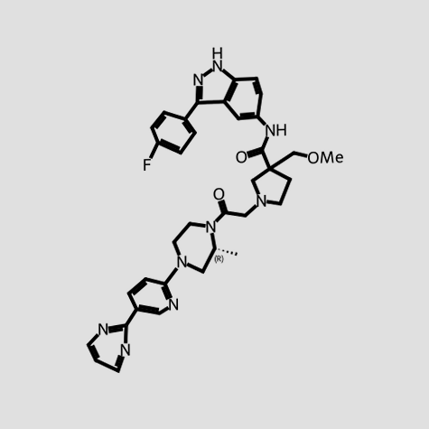 COCC1(C(=O)Nc2ccc3[nH]nc(-c4ccc(F)cc4)c3c2)CCN(CC(=O)N2CCN(c3ccc(-c4ncccn4)cn3)C[C@H]2C)C1